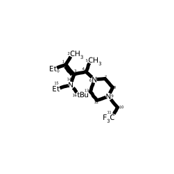 CC/C(C)=C(/C(C)N1CCN(CC(F)(F)F)CC1)N(CC)C(C)(C)C